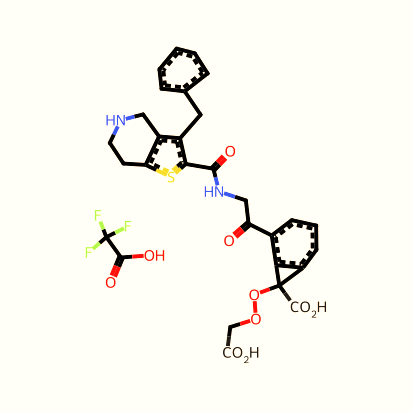 O=C(O)C(F)(F)F.O=C(O)COOC1(C(=O)O)c2cccc(C(=O)CNC(=O)c3sc4c(c3Cc3ccccc3)CNCC4)c21